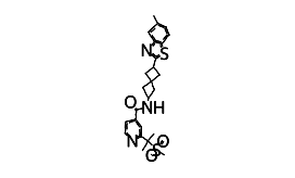 Cc1ccc2sc(C3CC4(CC(NC(=O)c5ccnc(C(C)(C)S(C)(=O)=O)c5)C4)C3)nc2c1